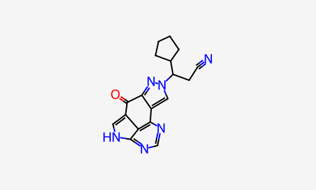 N#CCC(C1CCCC1)n1cc2c(n1)C(=O)c1c[nH]c3ncnc-2c13